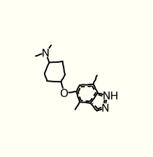 Cc1c(OC2CCC(N(C)C)CC2)cc(C)c2[nH]ncc12